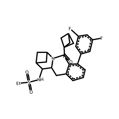 CCS(=O)(=O)NC1C2CC(C2)N(C(=O)C23CC(C2)C3)C1Cc1cccc(-c2cc(F)cc(F)c2)c1F